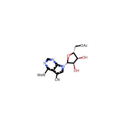 CNc1ncnc2c1c(C#N)cn2[C@@H]1O[C@H](COC(C)=O)[C@@H](O)[C@H]1O